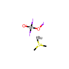 C[S+](C)C(C)(C)C.[O-][Sn]([I])([I])[O]I